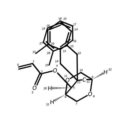 C=CC(=O)O[C@@H]1[C@H]2CO[C@H](CO2)CC1(Cc1ccccc1C)Cc1ccccc1C